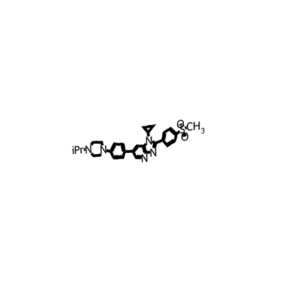 CC(C)N1CCN(c2ccc(-c3cnc4nc(-c5ccc(S(C)(=O)=O)cc5)n(C5CC5)c4c3)cc2)CC1